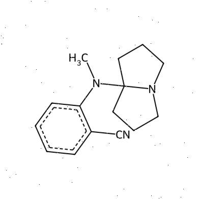 CN(c1ccccc1C#N)C12CCCN1CCC2